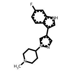 CN1CCC(n2cc(-c3c[nH]c4cc(F)ccc34)cn2)CC1